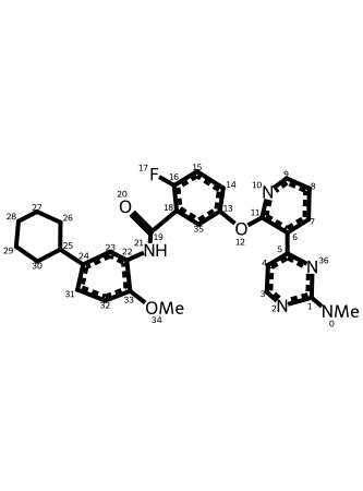 CNc1nccc(-c2cccnc2Oc2ccc(F)c(C(=O)Nc3cc(C4CCCCC4)ccc3OC)c2)n1